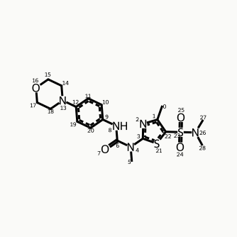 Cc1nc(N(C)C(=O)Nc2ccc(N3CCOCC3)cc2)sc1S(=O)(=O)N(C)C